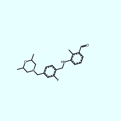 Cc1c(C=O)cccc1NCc1ccc(CN2CC(C)OC(C)C2)cc1F